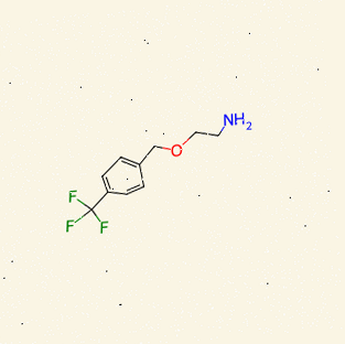 NCCOCc1ccc(C(F)(F)F)cc1